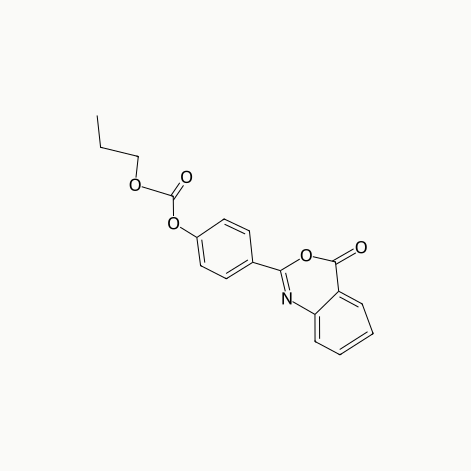 CCCOC(=O)Oc1ccc(-c2nc3ccccc3c(=O)o2)cc1